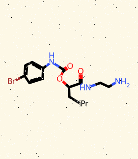 CC(C)CC(OC(=O)Nc1ccc(Br)cc1)C(=O)NCCN